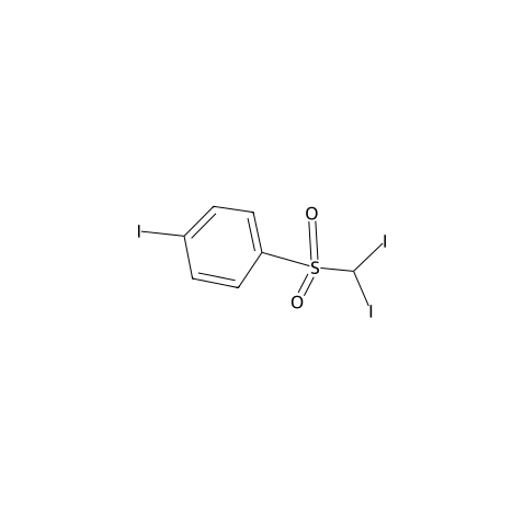 O=S(=O)(c1ccc(I)cc1)C(I)I